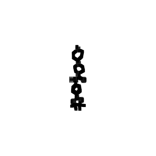 CN1CCC(N2CCN(C(=O)Nc3ccc(B4OC(C)(C)C(C)(C)O4)cc3)CC2)CC1